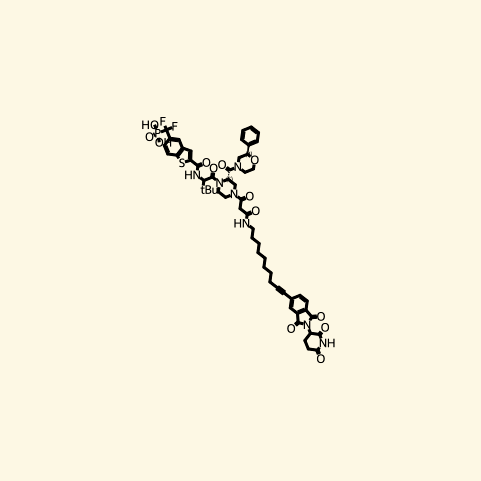 CC(C)(C)C(NC(=O)c1cc2cc(C(F)(F)P(=O)(O)O)ccc2s1)C(=O)N1CCN(C(=O)CC(=O)NCCCCCCCCC#Cc2ccc3c(c2)C(=O)N(C2CCC(=O)NC2=O)C3=O)C[C@H]1C(=O)N1CCO[C@H](c2ccccc2)C1